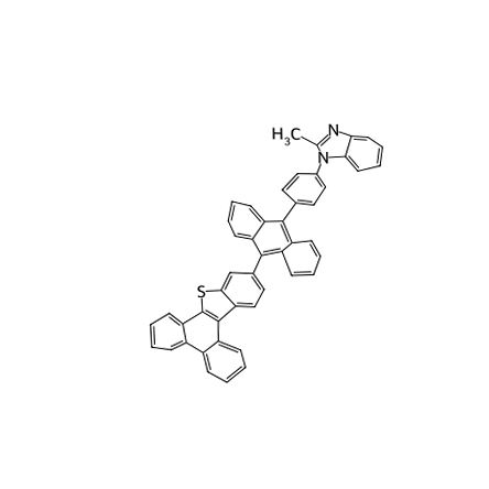 Cc1nc2ccccc2n1-c1ccc(-c2c3ccccc3c(-c3ccc4c(c3)sc3c5ccccc5c5ccccc5c43)c3ccccc23)cc1